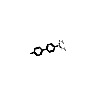 Cc1ccc(-c2ccc(N(P)P)cc2)cc1